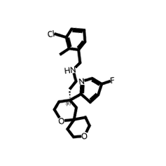 Cc1c(Cl)cccc1CNCC[C@@]1(c2ccc(F)cn2)CCOC2(CCOCC2)C1